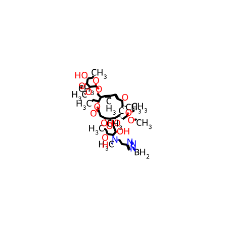 Bn1cc(CCN(C)C2C(O)C(C)O[C@@H](O[C@H]3[C@@H](CC(OCC)OCC)C[C@@H](C)C(=O)/C=C/C(C)=C/C(COC4OC(C)C(O)C(OC)C4OC)C(CC)OC(=O)C[C@@H](O)[C@@H]3C)C2O)nn1